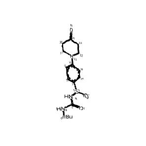 CCCCNC(=O)N[S+]([O-])c1ccc(N2CCC(=O)CC2)cc1